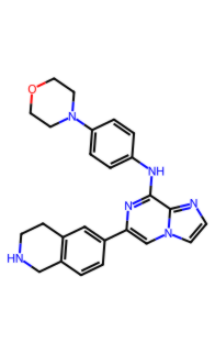 c1cn2cc(-c3ccc4c(c3)CCNC4)nc(Nc3ccc(N4CCOCC4)cc3)c2n1